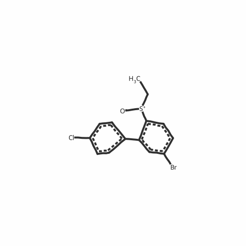 CC[S+]([O-])c1ccc(Br)cc1-c1ccc(Cl)cc1